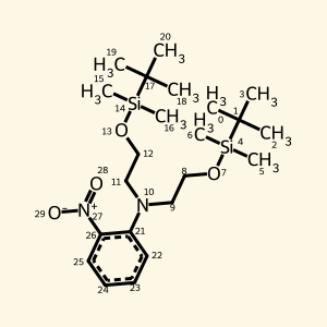 CC(C)(C)[Si](C)(C)OCCN(CCO[Si](C)(C)C(C)(C)C)c1ccccc1[N+](=O)[O-]